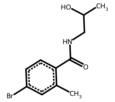 Cc1cc(Br)ccc1C(=O)NCC(C)O